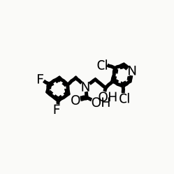 O=C(O)N(Cc1cc(F)cc(F)c1)CC(O)c1c(Cl)cncc1Cl